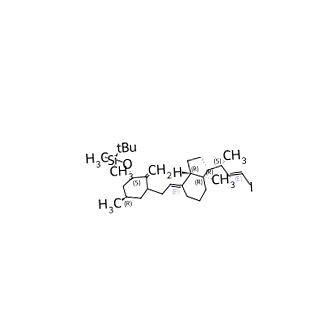 C=C1C(C/C=C2\CCC[C@]3(C)[C@@H]([C@H](C)/C=C/I)CC[C@@H]23)C[C@@H](C)C[C@@H]1O[Si](C)(C)C(C)(C)C